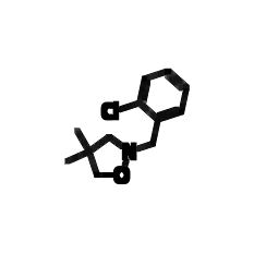 CC1(C)CON(Cc2ccccc2Cl)C1